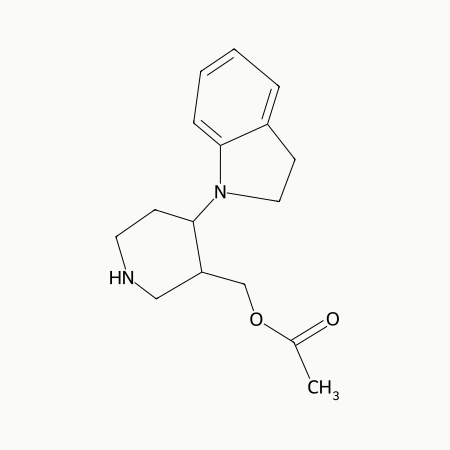 CC(=O)OCC1CNCCC1N1CCc2ccccc21